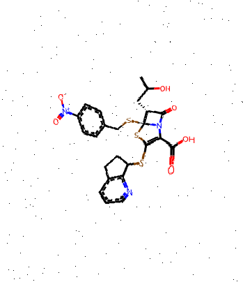 CC(O)C[C@@H]1C(=O)N2C(C(=O)O)=C(SC3CCc4cccnc43)S[C@]12SCc1ccc([N+](=O)[O-])cc1